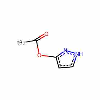 CC(C)(C)C(=O)Oc1cc[nH]n1